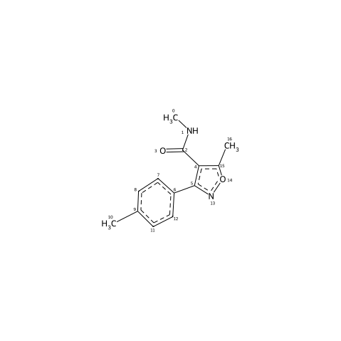 CNC(=O)c1c(-c2ccc(C)cc2)noc1C